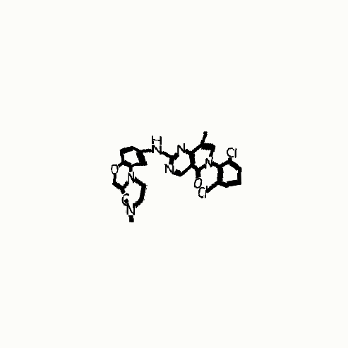 Cc1cn(-c2c(Cl)cccc2Cl)c(=O)c2cnc(Nc3ccc4c(c3)N3CCN(C)CC3CO4)nc12